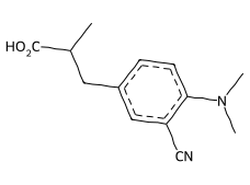 CC(Cc1ccc(N(C)C)c(C#N)c1)C(=O)O